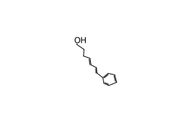 OCCCC=CC=Cc1ccccc1